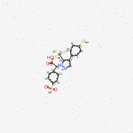 CSc1ccc(-c2cnn(C(C(=O)O)c3ccc(S(C)(=O)=O)cc3)c2C(F)(F)F)cc1